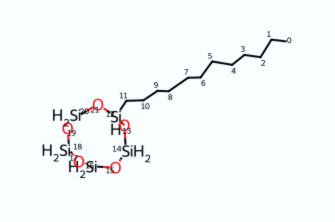 CCCCCCCCCCCC[SiH]1O[SiH2]O[SiH2]O[SiH2]O[SiH2]O1